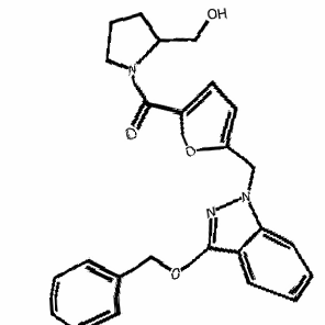 O=C(c1ccc(Cn2nc(OCc3ccccc3)c3ccccc32)o1)N1CCCC1CO